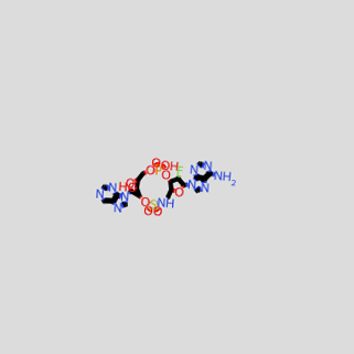 Nc1ncnc2c1ncn2C1OC2CNS(=O)(=O)OC3C(O)C(COP(=O)(O)OC2C1F)OC3n1cnc2cncnc21